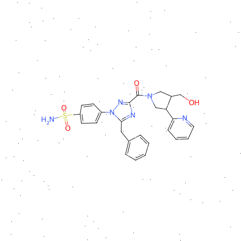 NS(=O)(=O)c1ccc(-n2nc(C(=O)N3CC(CO)C(c4ccccn4)C3)nc2Cc2ccccc2)cc1